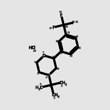 CC(C)(C)N1CCOC(c2cccc(C(F)(F)F)c2)C1.Cl